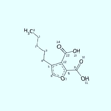 CCCCCc1coc(C(=O)O)c1C(=O)O